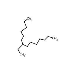 [CH2]CC(CCCCCC)CCCCCCC